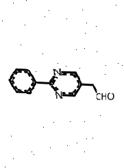 O=CCc1cnc(-c2ccccc2)nc1